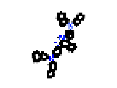 Cn1c2cc(N(c3ccc4ccccc4c3)c3ccc4ccccc4c3)ccc2c2c3ccccc3c3c4ccc(N(c5ccc6ccccc6c5)c5ccc6ccccc6c5)cc4n(C)c3c21